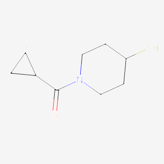 O=C(C1CC1)N1CCC(S)CC1